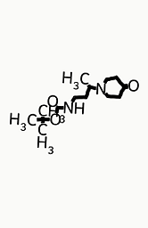 CC(CCNC(=O)OC(C)(C)C)N1CCC(=O)CC1